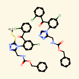 CSSc1nnc(CNC(=O)OCc2ccccc2)n1-c1ccc(Cl)cc1C(=O)c1ccccc1Cl.O=C(NCc1nncn1-c1ccc(Cl)cc1C(=O)c1ccccc1Cl)OCc1ccccc1